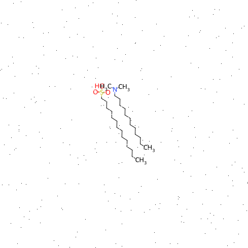 CCCCCCCCCCCCCCS(=O)(=O)O.CCCCCCCCCCCCN(C)C